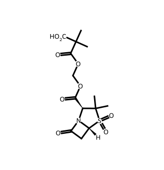 CC(C)(C(=O)O)C(=O)OCOC(=O)[C@@H]1N2C(=O)C[C@H]2S(=O)(=O)C1(C)C